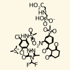 CS(=O)(=O)c1ccc(C(=O)C2C(=O)CCCC2=O)c([N+](=O)[O-])c1.C[S+](C)C.Cc1nn(-c2cc(NS(C)(=O)=O)c(Cl)cc2Cl)c(=O)n1C(F)F.O=C(O)CNCP(=O)([O-])O